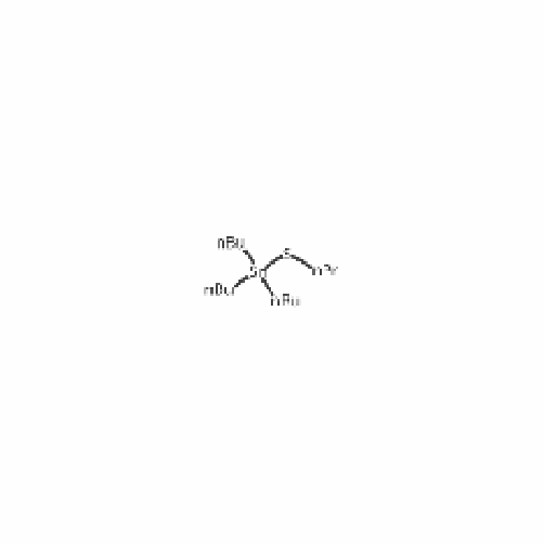 CCC[CH2][Sn]([CH2]CCC)([CH2]CCC)[S]CCC